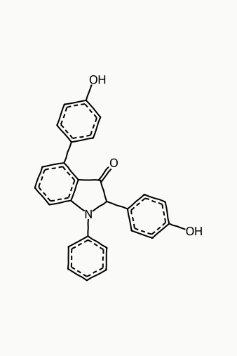 O=C1c2c(-c3ccc(O)cc3)cccc2N(c2ccccc2)C1c1ccc(O)cc1